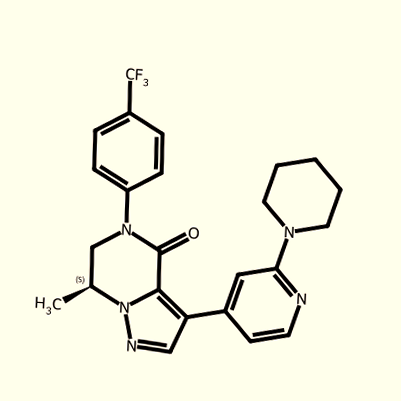 C[C@H]1CN(c2ccc(C(F)(F)F)cc2)C(=O)c2c(-c3ccnc(N4CCCCC4)c3)cnn21